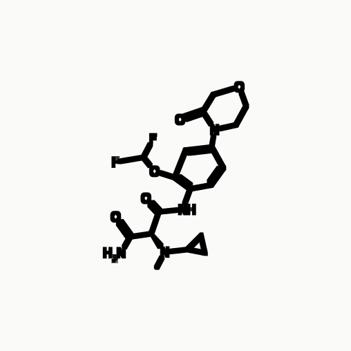 CN(C1CC1)[C@@H](C(N)=O)C(=O)Nc1ccc(N2CCOCC2=O)cc1OC(F)F